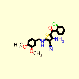 COc1ccc(CNc2sc(C(=O)c3ccccc3Cl)c(N)c2C#N)cc1OC